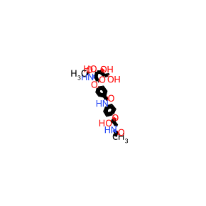 CC(=O)NC[C@@H](O)Oc1ccc(NC(=O)c2ccc(OC3OC(CO)C(O)C(O)C3NC(C)=O)cc2)cc1